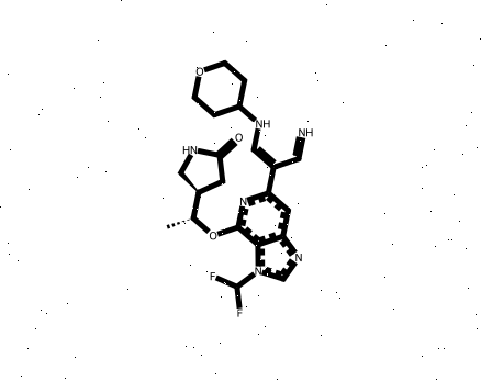 C[C@@H](Oc1nc(/C(C=N)=C/NC2CCOCC2)cc2ncn(C(F)F)c12)[C@H]1CNC(=O)C1